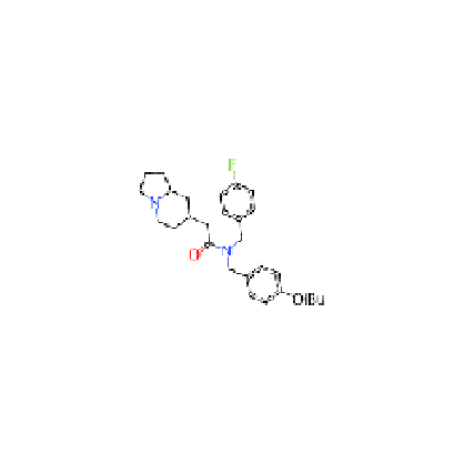 CC(C)COc1ccc(CN(Cc2ccc(F)cc2)C(=O)CC2CCN3CCCC3C2)cc1